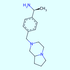 C[C@H](N)c1ccc(CN2CCN3CCCC3C2)cc1